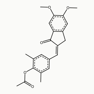 COc1cc2c(cc1OC)C(=O)C(=Cc1cc(C)c(OC(C)=O)c(C)c1)C2